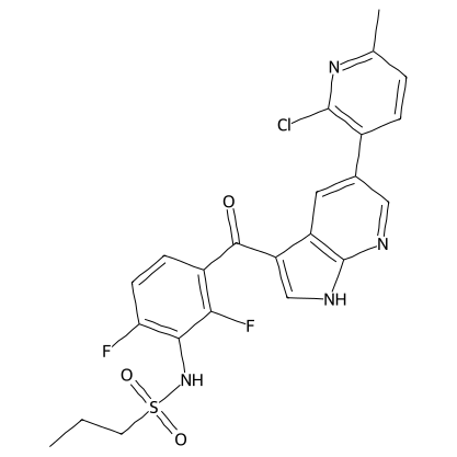 CCCS(=O)(=O)Nc1c(F)ccc(C(=O)c2c[nH]c3ncc(-c4ccc(C)nc4Cl)cc23)c1F